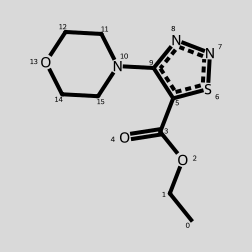 CCOC(=O)c1snnc1N1CCOCC1